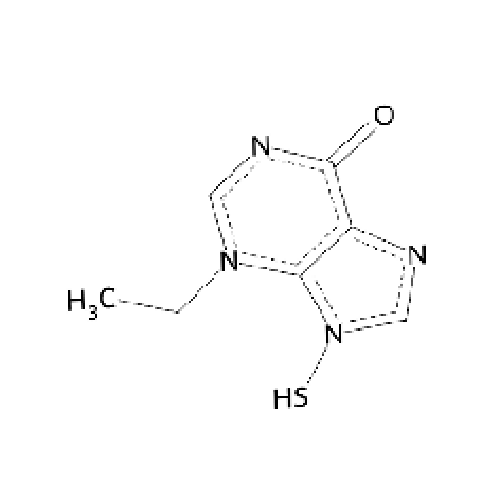 CCn1cnc(=O)c2ncn(S)c21